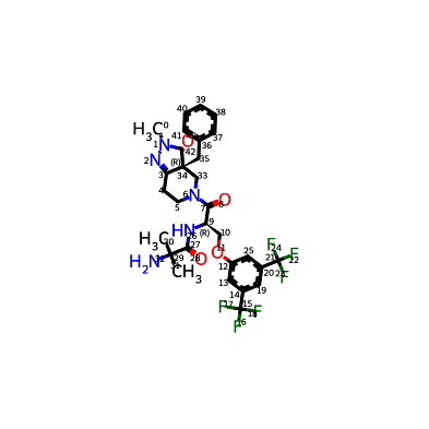 CN1N=C2CCN(C(=O)[C@@H](COc3cc(C(F)(F)F)cc(C(F)(F)F)c3)NC(=O)C(C)(C)N)C[C@@]2(Cc2ccccc2)C1=O